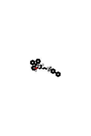 O=C(O)[C@@H](CCCOS(=O)(=O)c1ccc(-c2ccccc2)cc1)C[C@H](NC(c1ccccc1)(c1ccccc1)c1ccccc1)C(=O)O